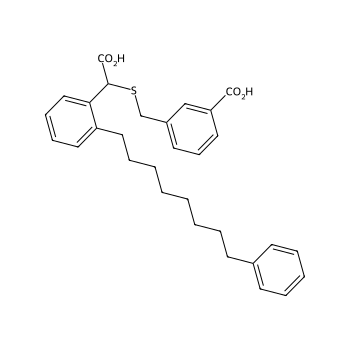 O=C(O)c1cccc(CSC(C(=O)O)c2ccccc2CCCCCCCCc2ccccc2)c1